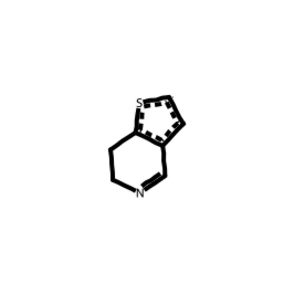 [c]1cc2c(s1)CCN=C2